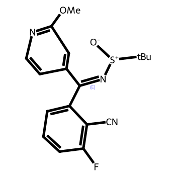 COc1cc(/C(=N\[S+]([O-])C(C)(C)C)c2cccc(F)c2C#N)ccn1